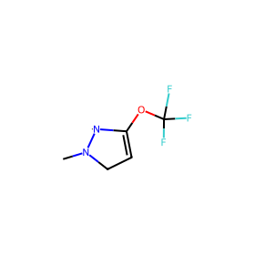 CN1CC=C(OC(F)(F)F)[N]1